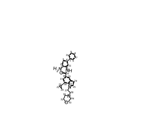 Nc1ccc(-c2ccccc2)cc1NC(=O)c1cc(C2CC2)c2c(ccn2CCN2CCOCC2)c1